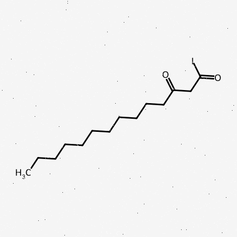 CCCCCCCCCCCC(=O)CC(=O)I